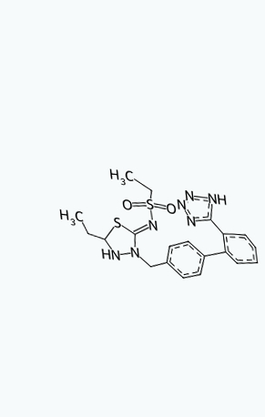 CCC1NN(Cc2ccc(-c3ccccc3-c3nnn[nH]3)cc2)C(=NS(=O)(=O)CC)S1